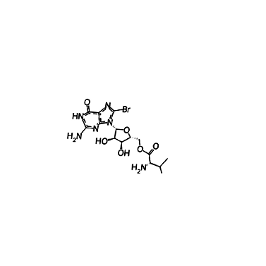 CC(C)[C@H](N)C(=O)OC[C@H]1O[C@@H](n2c(Br)nc3c(=O)[nH]c(N)nc32)[C@H](O)[C@@H]1O